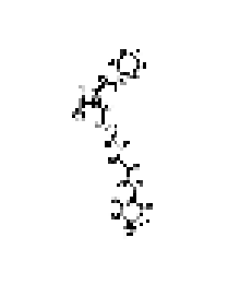 O=C1CC(SCc2ccccc2)N1CCOCCCCCCc1ccc(F)cc1